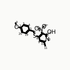 COc1ccc(CSc2cc(C)nc(O)c2[N+](=O)[O-])cc1